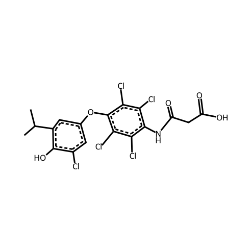 CC(C)c1cc(Oc2c(Cl)c(Cl)c(NC(=O)CC(=O)O)c(Cl)c2Cl)cc(Cl)c1O